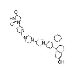 O=C1CCN(c2ccc(CN3CCN(C4CCN(c5ccc(C6c7ccc(O)cc7CCC6c6ccccc6)cc5)CC4)CC3)nc2)C(=O)N1